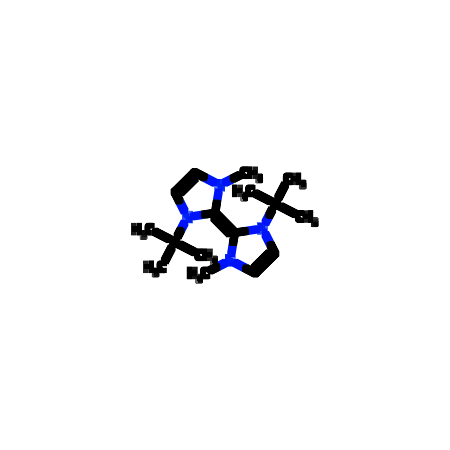 CN1C=CN([Si](C)(C)C)/C1=C1\N(C)C=CN1[Si](C)(C)C